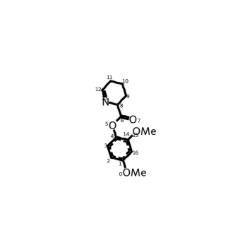 COc1ccc(OC(=O)C2CCCC=N2)c(OC)c1